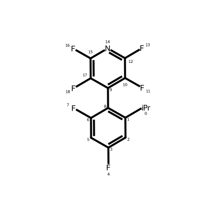 CC(C)c1cc(F)cc(F)c1-c1c(F)c(F)nc(F)c1F